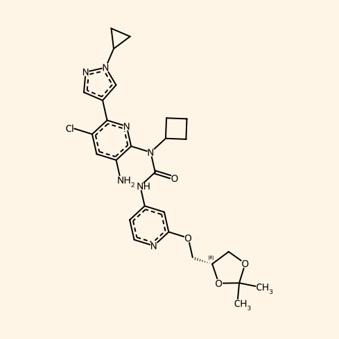 CC1(C)OC[C@@H](COc2cc(NC(=O)N(c3nc(-c4cnn(C5CC5)c4)c(Cl)cc3N)C3CCC3)ccn2)O1